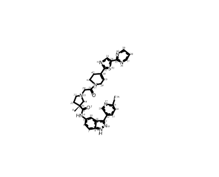 C[C@@]1(C(=O)Nc2ccc3[nH]nc(-c4ccc(F)nc4)c3c2)CCN(CC(=O)N2CC=C(c3ncc(-c4ncccn4)s3)CC2)C1